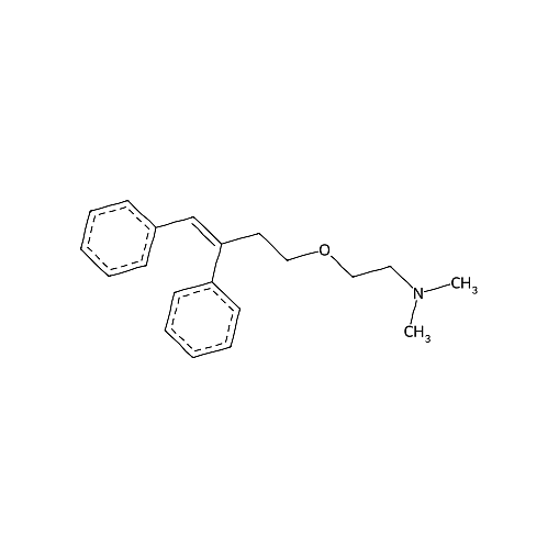 CN(C)CCOCCC(=Cc1ccccc1)c1ccccc1